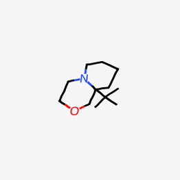 CC(C)(C)C12CCCCN1CCOC2